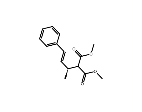 COC(=O)C(C(=O)OC)[C@@H](C)/C=C/c1ccccc1